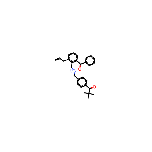 C=CCc1cccc(C(=O)c2ccccc2)c1CNCc1ccc(C(=O)C(C)(C)C)cc1